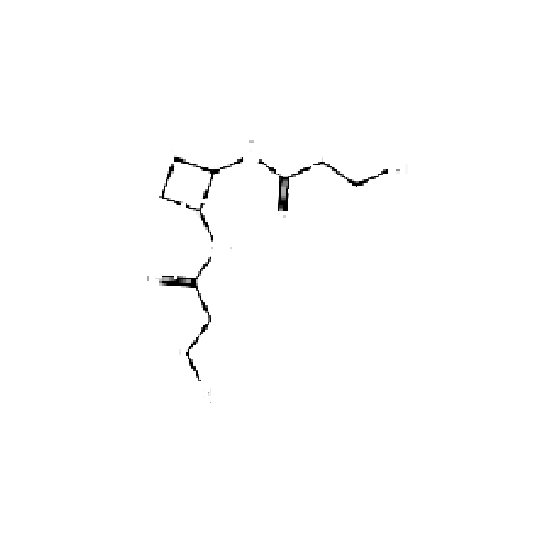 O=C(CCS)OC1CCC1OC(=O)CCS